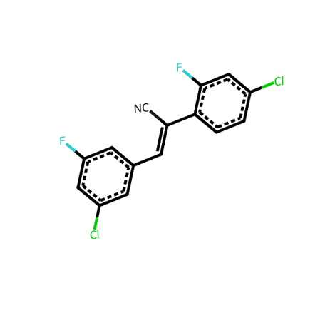 N#C/C(=C\c1cc(F)cc(Cl)c1)c1ccc(Cl)cc1F